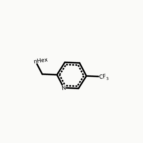 CCCCCCCc1ccc(C(F)(F)F)cn1